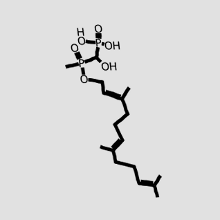 CC(C)=CCCC(C)=CCCC(C)=CCOP(C)(=O)C(O)P(=O)(O)O